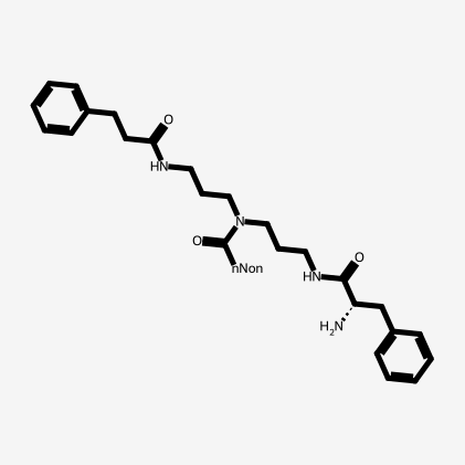 CCCCCCCCCC(=O)N(CCCNC(=O)CCc1ccccc1)CCCNC(=O)[C@@H](N)Cc1ccccc1